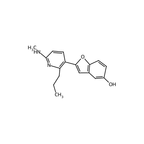 CCCc1nc(NC)ccc1-c1cc2cc(O)ccc2o1